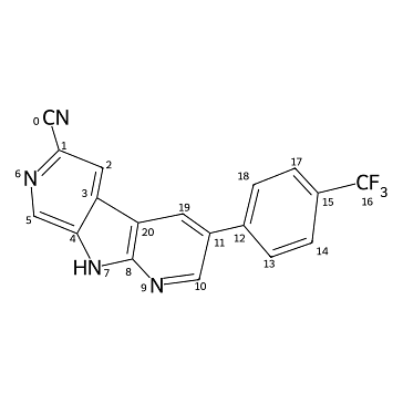 N#Cc1cc2c(cn1)[nH]c1ncc(-c3ccc(C(F)(F)F)cc3)cc12